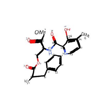 COC(=O)C(COC(=O)C(C)Cc1ccccc1)NC(=O)c1nccc(OC)c1O